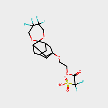 O=C(OCCOC12CC3CC(C1)C1(OCC(F)(F)C(F)(F)CO1)C(C3)C2)C(F)(F)S(=O)(=O)O